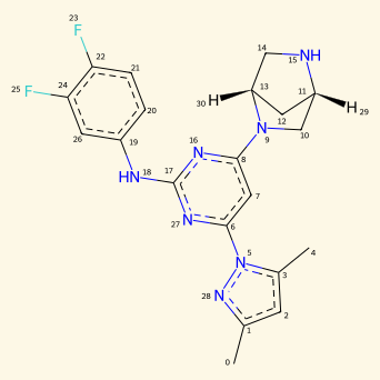 Cc1cc(C)n(-c2cc(N3C[C@@H]4C[C@H]3CN4)nc(Nc3ccc(F)c(F)c3)n2)n1